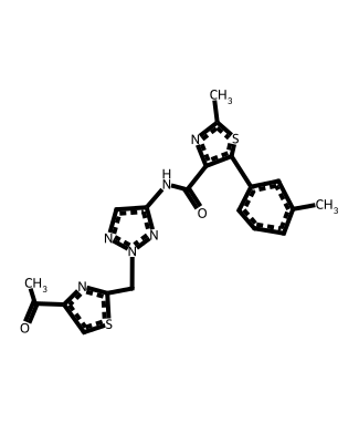 CC(=O)c1csc(Cn2ncc(NC(=O)c3nc(C)sc3-c3cccc(C)c3)n2)n1